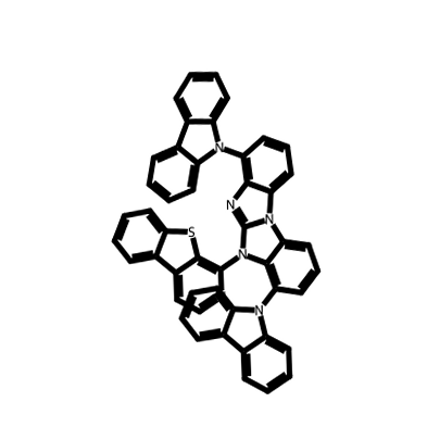 c1ccc2c(c1)sc1c(-n3c4c(-n5c6ccccc6c6ccccc65)cccc4n4c5cccc(-n6c7ccccc7c7ccccc76)c5nc34)nccc12